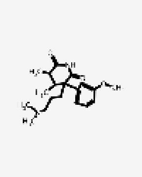 COc1cccc(C2(CCCN(C)C)C(=O)NC(=O)C(C)C2C)c1